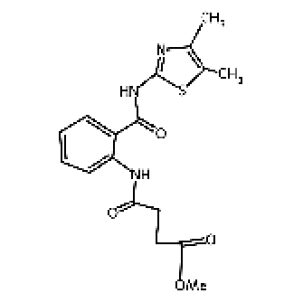 COC(=O)CCC(=O)Nc1ccccc1C(=O)Nc1nc(C)c(C)s1